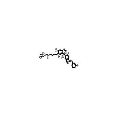 COc1cc2c(cc1CCCCNCCS(C)(=O)=O)C(N)(c1ccc3c(cnn3Cc3cccc(F)c3)c1)NC=N2